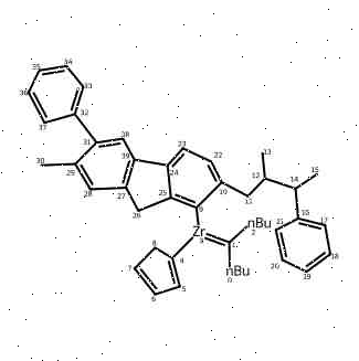 CCCC[C](CCCC)=[Zr]([C]1=CC=CC1)[c]1c(CC(C)C(C)c2ccccc2)ccc2c1Cc1cc(C)c(-c3ccccc3)cc1-2